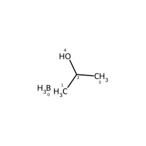 B.CC(C)O